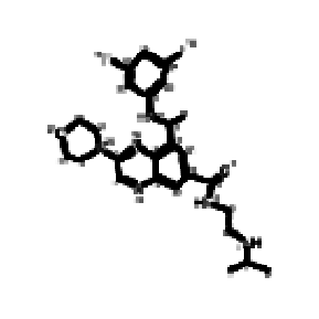 CC(C)NCCNC(=O)c1cc(C(C)Nc2cc(F)cc(F)c2)c2nc(N3CCOCC3)cnc2c1